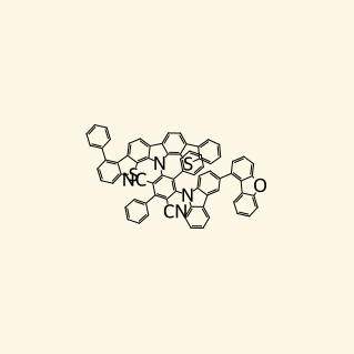 N#Cc1c(-c2ccccc2)c(C#N)c(-n2c3c(ccc4c5ccccc5sc43)c3ccc4c(sc5cccc(-c6ccccc6)c54)c32)c(-c2ccccc2)c1-n1c2ccccc2c2cc(-c3cccc4oc5ccccc5c34)ccc21